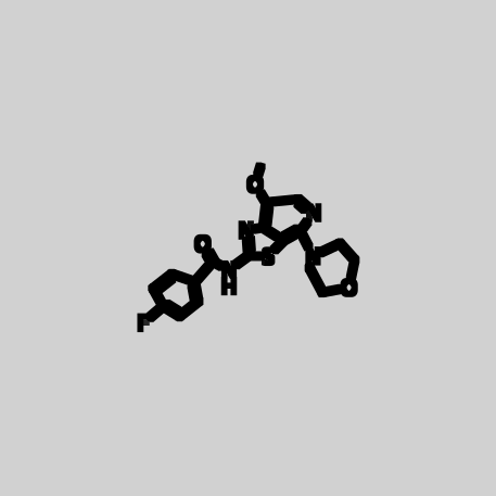 COc1cnc(N2CCOCC2)c2sc(NC(=O)c3ccc(F)cc3)nc12